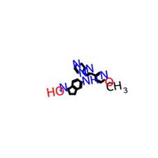 COc1ccc(-c2nc3cnccn3c2Nc2ccc3c(c2)CC/C3=N\O)cn1